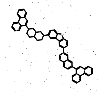 c1ccc2c(c1)cc(-c1ccc3ccc(-c4ccc5oc6ccc(C7CCC8CCC(c9cc%10ccccc%10c%10ccccc9%10)CC8C7)cc6c5c4)cc3c1)c1ccccc12